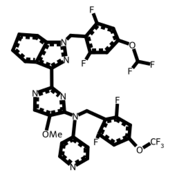 COc1cnc(-c2nn(Cc3c(F)cc(OC(F)F)cc3F)c3ccccc23)nc1N(Cc1c(F)cc(OC(F)(F)F)cc1F)c1ccncc1